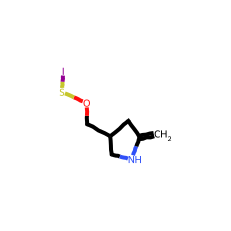 C=C1CC(COSI)CN1